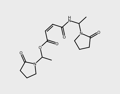 CC(NC(=O)/C=C\C(=O)OC(C)N1CCCC1=O)N1CCCC1=O